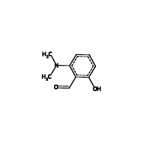 CN(C)c1cccc(O)c1C=O